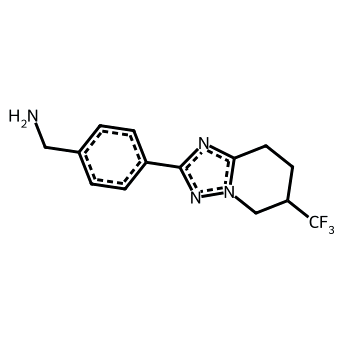 NCc1ccc(-c2nc3n(n2)CC(C(F)(F)F)CC3)cc1